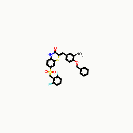 O=C1Nc2ccc(S(=O)(=O)Cc3c(F)cccc3F)cc2S/C1=C\c1ccc(OCc2ccccc2)c([N+](=O)[O-])c1